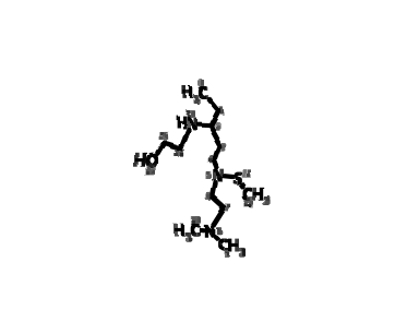 CCC(CCN(CCN(C)C)SC)NCCO